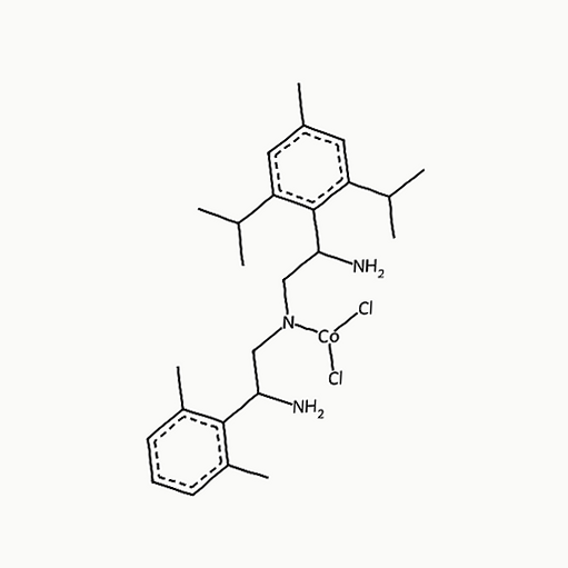 Cc1cc(C(C)C)c(C(N)C[N](CC(N)c2c(C)cccc2C)[Co]([Cl])[Cl])c(C(C)C)c1